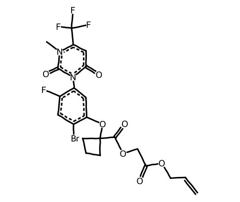 C=CCOC(=O)COC(=O)C1(Oc2cc(-n3c(=O)cc(C(F)(F)F)n(C)c3=O)c(F)cc2Br)CCC1